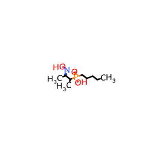 CCCCCP(=O)(O)C(C)C(C)=NO